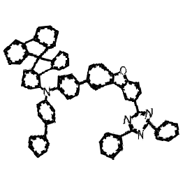 c1ccc(-c2ccc(N(c3ccc(-c4ccc5oc6ccc(-c7nc(-c8ccccc8)nc(-c8ccccc8)n7)cc6c5c4)cc3)c3cccc4c3-c3ccccc3C43c4ccccc4-c4ccccc43)cc2)cc1